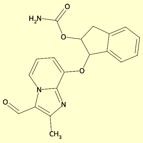 Cc1nc2c(OC3c4ccccc4CC3OC(N)=O)cccn2c1C=O